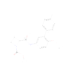 CC(C)(C)OC(=O)N1CCC1C(=O)Nc1ccc(OC(F)(F)F)c(-c2ccc(C=O)cc2)c1